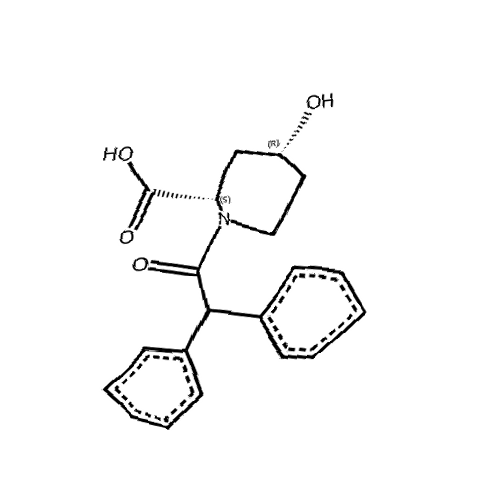 O=C(O)[C@@H]1C[C@H](O)CCN1C(=O)C(c1ccccc1)c1ccccc1